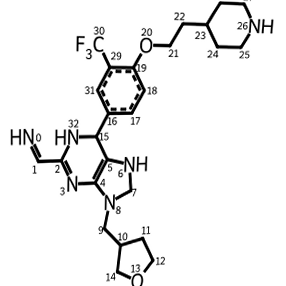 N=CC1=NC2=C(NCN2CC2CCOC2)C(c2ccc(OCCC3CCNCC3)c(C(F)(F)F)c2)N1